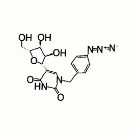 [N-]=[N+]=Nc1ccc(Cn2cc([C@@H]3O[C@H](CO)[C@@H](O)[C@H]3O)c(=O)[nH]c2=O)cc1